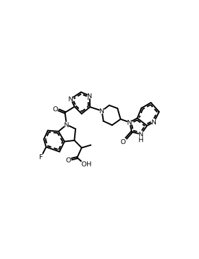 CC(C(=O)O)C1CN(C(=O)c2cc(N3CCC(n4c(=O)[nH]c5ncccc54)CC3)ncn2)c2ccc(F)cc21